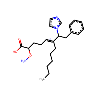 CCCCCC/C(=C\CCC(ON)C(=O)O)C(Cc1ccccc1)n1ccnc1